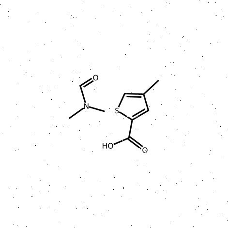 CN(C)C=O.Cc1csc(C(=O)O)c1